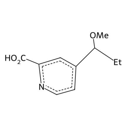 CCC(OC)c1ccnc(C(=O)O)c1